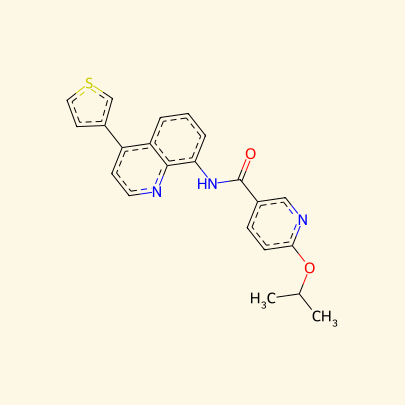 CC(C)Oc1ccc(C(=O)Nc2cccc3c(-c4ccsc4)ccnc23)cn1